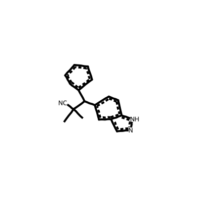 CC(C)(C#N)C(c1ccccc1)c1ccc2[nH]ncc2c1